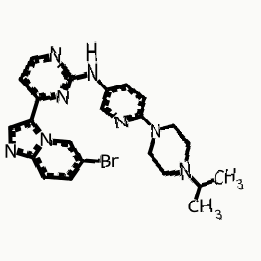 CC(C)N1CCN(c2ccc(Nc3nccc(-c4cnc5ccc(Br)cn45)n3)cn2)CC1